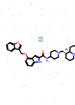 Cl.Cl.O=C(NC1CCN(C[C@@H]2CCCN3CCCC[C@H]23)CC1)c1cc2c(OCc3coc4ccccc34)cccc2[nH]1